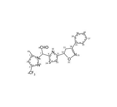 Cc1cc(C(F)(F)F)nn1C([C]=O)c1nc(C2CC(c3ccccc3)=NO2)cs1